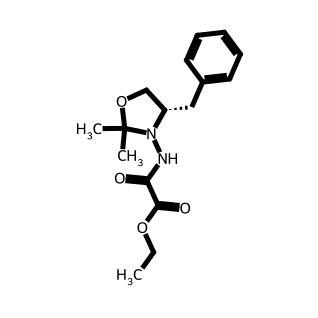 CCOC(=O)C(=O)NN1[C@@H](Cc2ccccc2)COC1(C)C